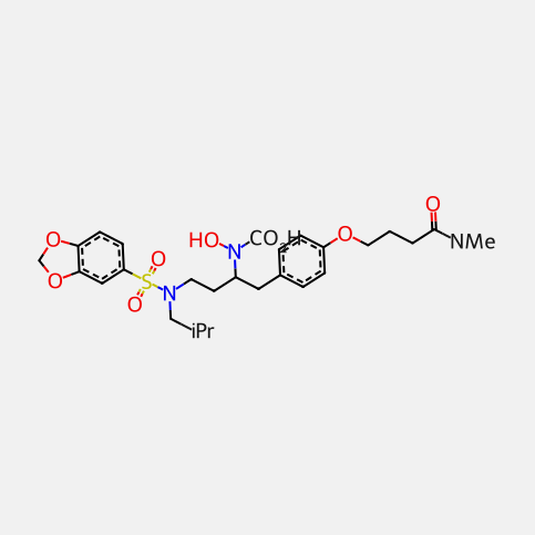 CNC(=O)CCCOc1ccc(CC(CCN(CC(C)C)S(=O)(=O)c2ccc3c(c2)OCO3)N(O)C(=O)O)cc1